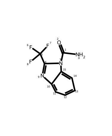 NC(=O)n1c(C(F)(F)F)nc2c[c]ccc21